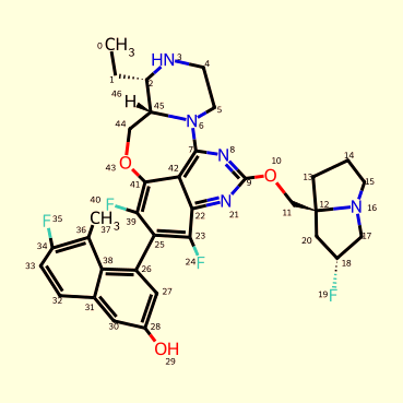 CC[C@@H]1NCCN2c3nc(OC[C@@]45CCCN4C[C@H](F)C5)nc4c(F)c(-c5cc(O)cc6ccc(F)c(C)c56)c(F)c(c34)OC[C@H]12